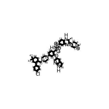 C[C@@H](CN1CCP(C)(=O)CC1)Nc1ccc(S(=O)(=O)NC(=O)c2ccc(N3CCN(CC4=C(c5ccc(Cl)cc5)CC(C)(C)CC4)CC3)cc2Oc2cnc3[nH]ccc3c2)cc1[N+](=O)[O-]